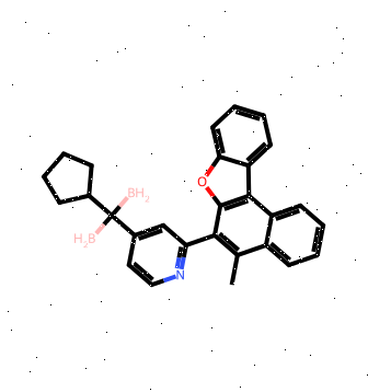 BC(B)(c1ccnc(-c2c(C)c3ccccc3c3c2oc2ccccc23)c1)C1CCCC1